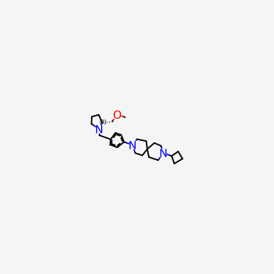 COC[C@H]1CCCN1Cc1ccc(N2CCC3(CC2)CCN(C2CCC2)CC3)cc1